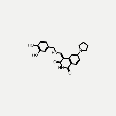 O=C1NC(=O)c2ccc(N3CCCC3)cc2C1=CNCc1ccc(O)c(O)c1